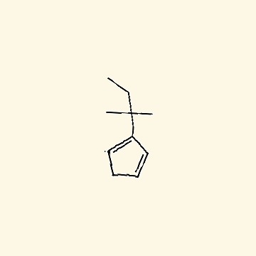 CCC(C)(C)C1=[C]CC=C1